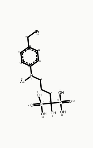 CC(=O)N(CCCC(O)(P(=O)(O)O)P(=O)(O)O)c1ccc(CC(C)C)cc1